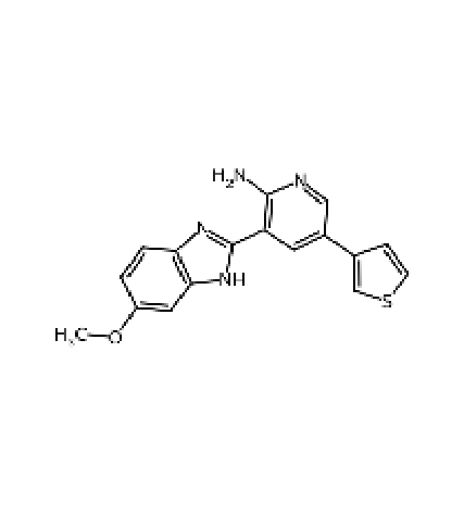 COc1ccc2nc(-c3cc(-c4ccsc4)cnc3N)[nH]c2c1